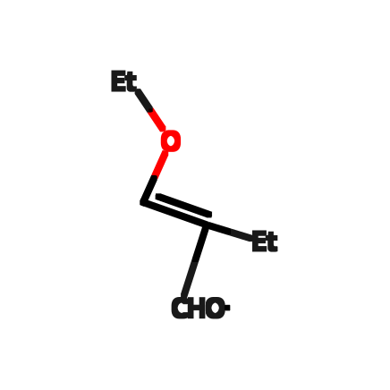 CCOC=C([C]=O)CC